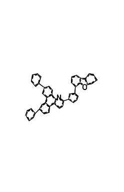 c1ccc(-c2ccc3c(c2)c2cc(-c4ccccc4)ccc2c2nc(-c4cccc(-c5cccc6c5oc5ccccc56)c4)ccc32)cc1